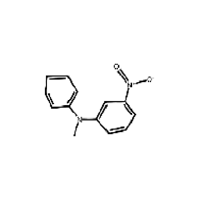 CN(c1ccccc1)c1cccc([N+](=O)[O-])c1